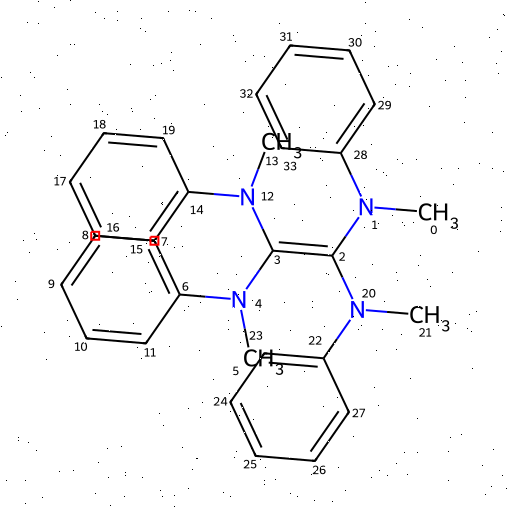 CN(C(=C(N(C)c1ccccc1)N(C)c1ccccc1)N(C)c1ccccc1)c1ccccc1